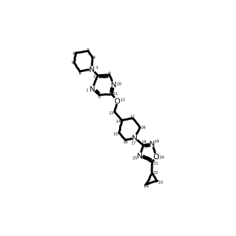 c1nc(N2CCCCC2)cnc1OCC1CCN(c2noc(C3CC3)n2)CC1